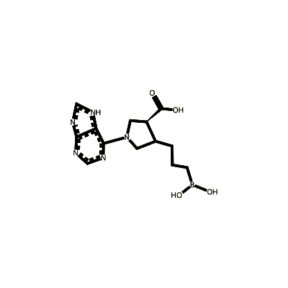 O=C(O)[C@@H]1CN(c2ncnc3nc[nH]c23)CC1CCCB(O)O